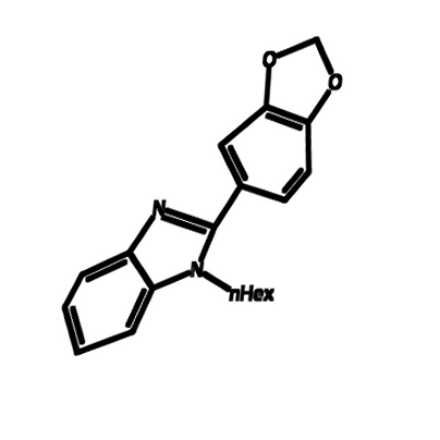 CCCCCCn1c(-c2ccc3c(c2)OCO3)nc2ccccc21